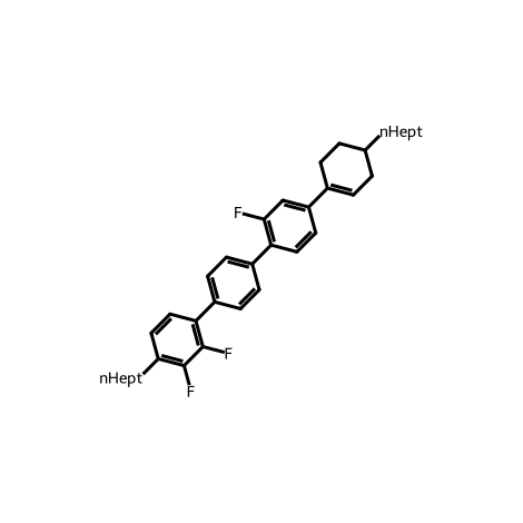 CCCCCCCc1ccc(-c2ccc(-c3ccc(C4=CCC(CCCCCCC)CC4)cc3F)cc2)c(F)c1F